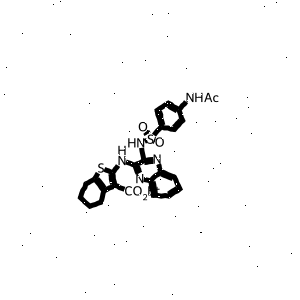 CCOC(=O)c1c(Nc2nc3ccccc3nc2NS(=O)(=O)c2ccc(NC(C)=O)cc2)sc2c1CCCC2